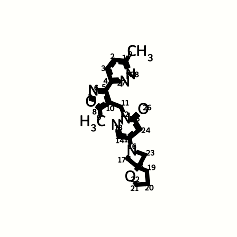 Cc1ccc(-c2noc(C)c2Cn2ncc(N3CC4(CCCO4)C3)cc2=O)nn1